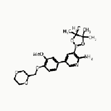 COc1cc(-c2cnc(N)c(B3OC(C)(C)C(C)(C)O3)c2)ccc1OCC1COCCO1